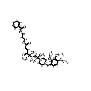 COc1ccc(CN2CCN(C(C)(C)COC(C)(C)C(=O)CCC(=O)OCCCOC(=O)C3=CCCN=C3)CC2)c(OC)c1OC